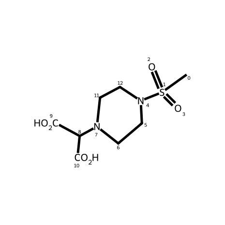 CS(=O)(=O)N1CCN(C(C(=O)O)C(=O)O)CC1